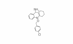 NC1C2=C(CCCC2)N(OCc2ccc(Cl)cc2)c2ccccc21